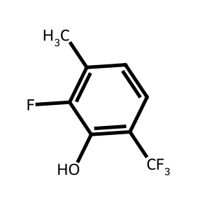 Cc1ccc(C(F)(F)F)c(O)c1F